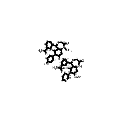 COc1cc2c(c(OC)c1-c1ccc(Cl)cc1)C(c1cccc(C(N)=O)c1)=NCC(=O)N2C.COc1cc2c(c(OC)c1-c1cccnc1)C(c1cccc(C(N)=O)c1)=NCC(=O)N2